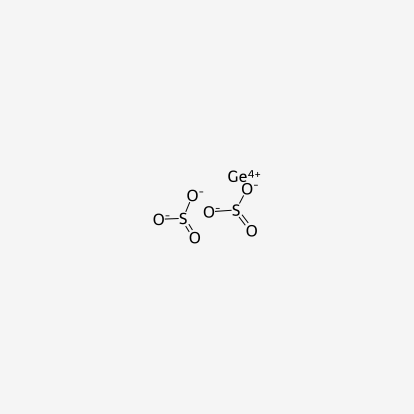 O=S([O-])[O-].O=S([O-])[O-].[Ge+4]